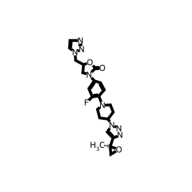 C[C@@]1(c2cn(C3CCN(c4ccc(N5CC(Cn6ccnn6)OC5=O)cc4F)CC3)nn2)CO1